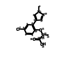 Cn1cc(-c2cc(Cl)ccc2O[Si@@H](C)C(=O)O)cn1